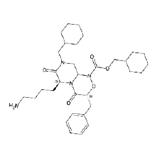 NCCCC[C@H]1C(=O)N(CC2CCCCC2)CC2N(C(=O)OCC3CCCCC3)O[C@H](Cc3ccccc3)C(=O)N21